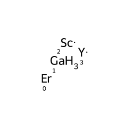 [Er].[GaH3].[Sc].[Y]